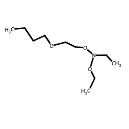 CCCCOCCON(CC)OCC